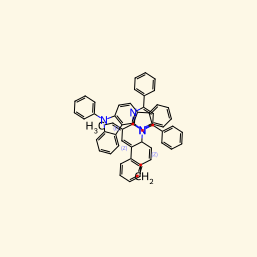 C=C/C=C\C(/C(=C\C(=C/C)c1nc(-c2ccccc2)cc(-c2ccccc2)n1)c1ccccc1)n1c2ccccc2c2ccc3c(c4ccccc4n3-c3ccccc3)c21